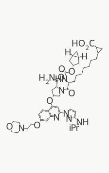 CC(C)Nc1ccn(-c2cc(O[C@@H]3C[C@@H](C(N)=O)N(C(=O)[C@H](CCCCCCC[C@@H]4C[C@@H]4C(=O)O)NC(=O)O[C@@H]4C[C@@H]5C[C@@H]5C4)C3)c3ccc(OCCN4CCOCC4)cc3n2)n1